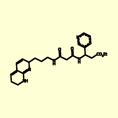 CCOC(=O)CC(NC(=O)CC(=O)NCCCC1C=CC2=CCCNC2=N1)c1cccnc1